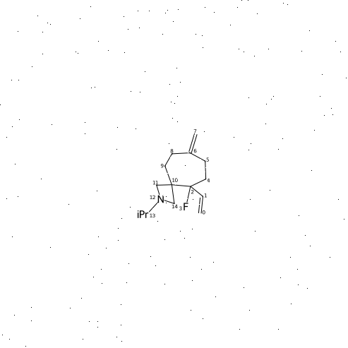 C=CC1(F)CCC(=C)CCC12CN(C(C)C)C2